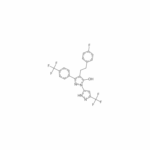 Oc1c(CCc2ccc(F)cc2)c(-c2ccc(C(F)(F)F)cc2)nn1-c1cc(C(F)(F)F)n[nH]1